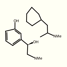 CNC(C)CC1CCCCC1.CNC[C@H](O)c1cccc(O)c1